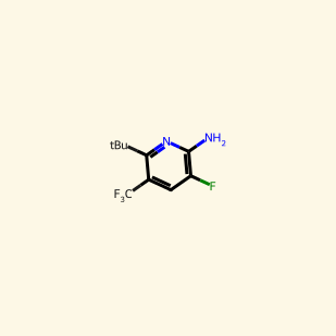 CC(C)(C)c1nc(N)c(F)cc1C(F)(F)F